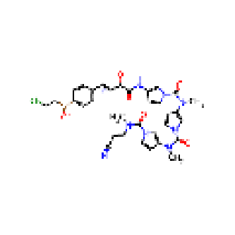 CN(CCC#N)C(=O)n1ccc(N(C)C(=O)n2ccc(N(C)C(=O)n3ccc(NC(=O)C(=O)/C=C/c4ccc([S+]([O-])CCCl)cc4)c3)c2)c1